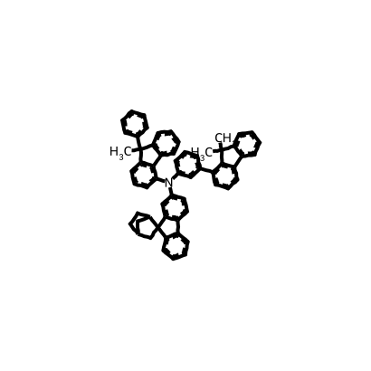 CC1(C)c2ccccc2-c2cccc(-c3cccc(N(c4ccc5c(c4)C4(CC6CCC4C6)c4ccccc4-5)c4cccc5c4-c4ccccc4C5(C)c4ccccc4)c3)c21